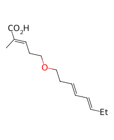 CCC=CC=CCCOCCC=C(C)C(=O)O